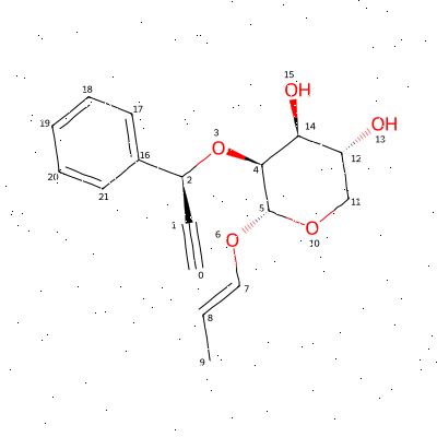 C#C[C@H](O[C@@H]1[C@@H](O/C=C/C)OC[C@@H](O)[C@@H]1O)c1ccccc1